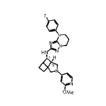 COc1cc(N2C[C@H]3[C@H](Nc4nc5n(n4)CCCN5c4ccc(F)cc4)C4CCC43C2)ccn1